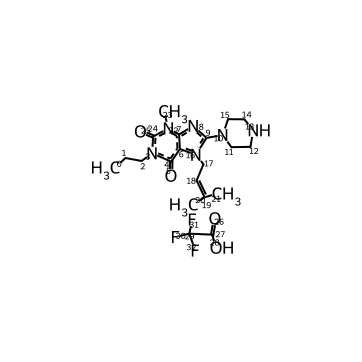 CCCn1c(=O)c2c(nc(N3CCNCC3)n2CC=C(C)C)n(C)c1=O.O=C(O)C(F)(F)F